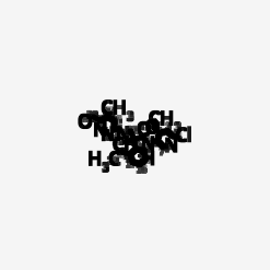 COc1cc(Cl)ncc1NC(=O)C1(c2ccccc2C(C)C)CN(c2cc(C)c([C]=O)nn2)C1